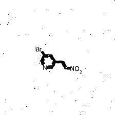 O=[N+]([O-])C=Cc1cncc(Br)c1